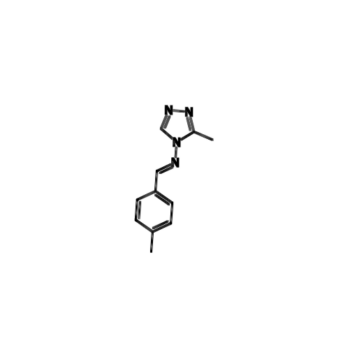 Cc1ccc(C=Nn2cnnc2C)cc1